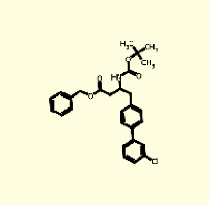 CC(C)(C)OC(=O)NC(CC(=O)OCc1ccccc1)Cc1ccc(-c2cccc(Cl)c2)cc1